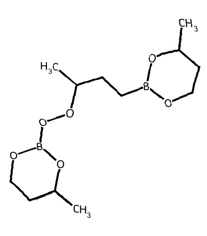 CC(CCB1OCCC(C)O1)OOB1OCCC(C)O1